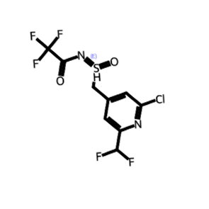 O=C(/N=[SH](=O)\Cc1cc(Cl)nc(C(F)F)c1)C(F)(F)F